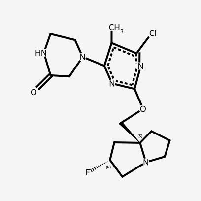 Cc1c(Cl)nc(OC[C@@]23CCCN2C[C@H](F)C3)nc1N1CCNC(=O)C1